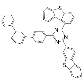 c1ccc(-c2cccc(-c3ccc(-c4nc(-c5ccc6c(c5)sc5ccccc56)nc(-c5cccc6sc7ccccc7c56)n4)cc3)c2)cc1